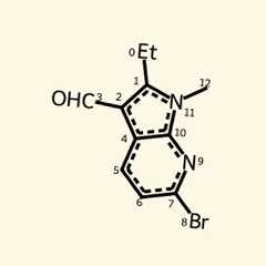 CCc1c(C=O)c2ccc(Br)nc2n1C